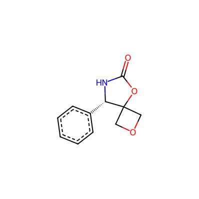 O=C1N[C@@H](c2ccccc2)C2(COC2)O1